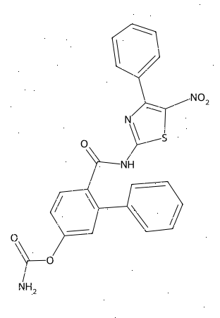 NC(=O)Oc1ccc(C(=O)Nc2nc(-c3ccccc3)c([N+](=O)[O-])s2)c(-c2ccccc2)c1